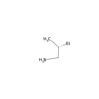 BC[C@H](C)CC